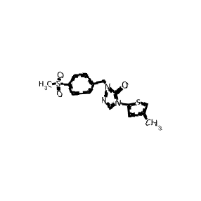 Cc1csc(-n2cnn(Cc3ccc(S(C)(=O)=O)cc3)c2=O)c1